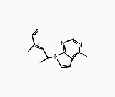 C=C/C(C)=C/C(CC)n1ccc2c(C)ncnc21